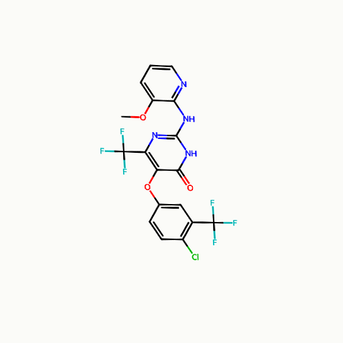 COc1cccnc1Nc1nc(C(F)(F)F)c(Oc2ccc(Cl)c(C(F)(F)F)c2)c(=O)[nH]1